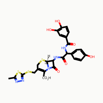 Cc1nnc(SCC2=C(C(=O)O)N3C(=O)C(NC(=O)C(NC(=O)c4ccc(O)c(O)c4)c4ccc(O)cc4)[C@@H]3SC2)s1